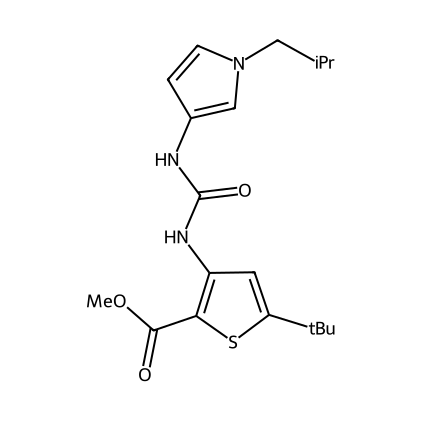 COC(=O)c1sc(C(C)(C)C)cc1NC(=O)Nc1ccn(CC(C)C)c1